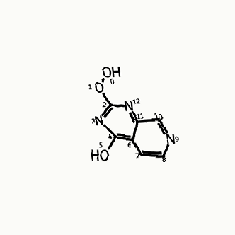 OOc1nc(O)c2ccncc2n1